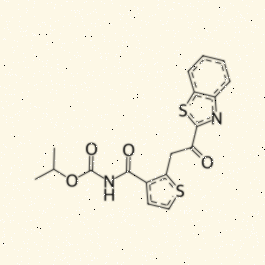 CC(C)OC(=O)NC(=O)c1ccsc1CC(=O)c1nc2ccccc2s1